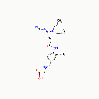 CCCN(CC1CC1)C(/C=C/C(=O)Nc1ccc(CNCC(=O)O)cc1C)=N/C=N